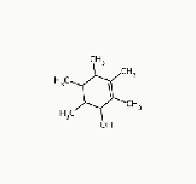 CC1=C(C)C(O)C(C)C(C)C1C